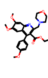 CCOC(=O)c1c(CN2CCOCC2)nc2cc(OC)c(OC)cc2c1-c1ccc(OC)cc1